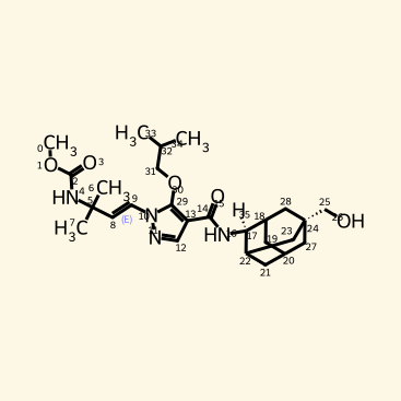 COC(=O)NC(C)(C)/C=C/n1ncc(C(=O)N[C@H]2C3CC4CC2C[C@](CO)(C4)C3)c1OCC(C)C